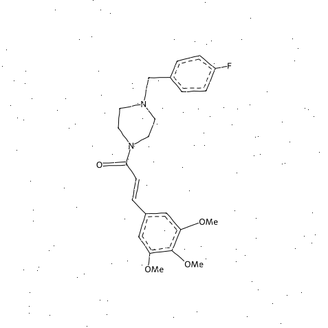 COc1cc(C=CC(=O)N2CCN(Cc3ccc(F)cc3)CC2)cc(OC)c1OC